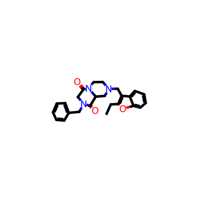 CCc1oc2ccccc2c1CN1CCN2C(=O)CN(Cc3ccccc3)C(=O)C2C1